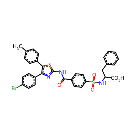 Cc1ccc(-c2sc(NC(=O)c3ccc(S(=O)(=O)NC(Cc4ccccc4)C(=O)O)cc3)nc2-c2ccc(Br)cc2)cc1